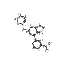 O=[N+]([O-])c1cccc(-c2cc(Cc3cnccn3)cc3ccoc23)c1